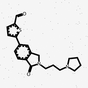 O=Cc1ccc(-c2ccc3c(c2)CN(CCCN2CCCC2)C3=O)s1